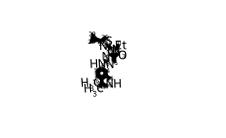 CCn1c(=O)c2cnc(Nc3ccc4c(c3)CNCC4(C)C)nc2n1-c1nc(C2CC2)cs1